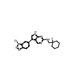 CCn1nnc2ccc(-c3c[nH]c4nc(NCC5(F)CCCCC5)ncc34)cc21